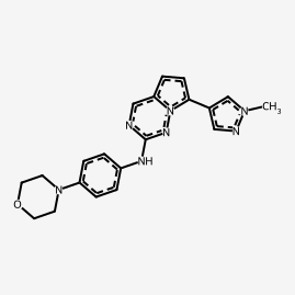 Cn1cc(-c2ccc3cnc(Nc4ccc(N5CCOCC5)cc4)nn23)cn1